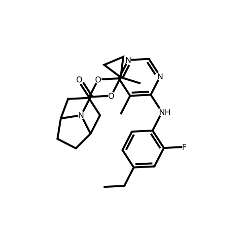 CCc1ccc(Nc2ncnc(OC3CC4CCC(C3)N4C(=O)OC3(C)CC3)c2C)c(F)c1